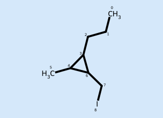 CCCC1C(C)C1CI